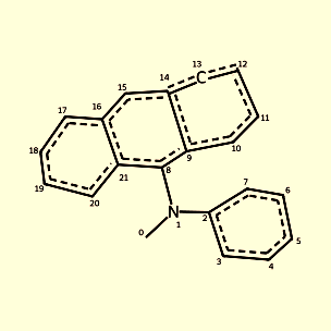 CN(c1ccccc1)c1c2ccccc2cc2ccccc12